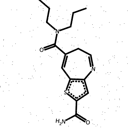 CCCN(CCC)C(=O)C1=Cc2sc(C(N)=O)cc2N=CC1